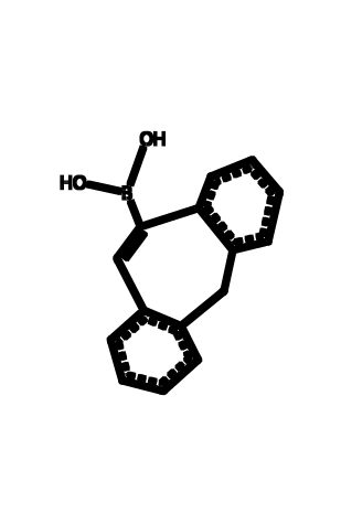 OB(O)C1=Cc2ccccc2Cc2ccccc21